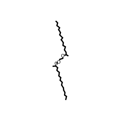 CCCCCCCCCCCCCCC(C)OCCOOC(C)CCCCCCCCCCCCCC